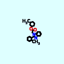 Cc1ccccc1-c1nc2ccccc2n1CC(=O)OC1CCCC(C)C1